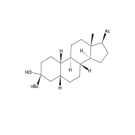 CCCC[C@@]1(O)CC[C@H]2[C@H](CC[C@@H]3[C@@H]2CC[C@]2(C)[C@@H](C(C)=O)CC[C@@H]32)C1